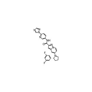 O=C(Nc1ccc(-n2cncn2)nc1)c1cc2cc(N3CCC[C@@H]3c3cc(F)cc(F)c3)ccn2n1